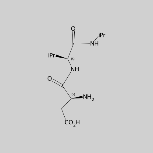 CC(C)NC(=O)[C@@H](NC(=O)[C@@H](N)CC(=O)O)C(C)C